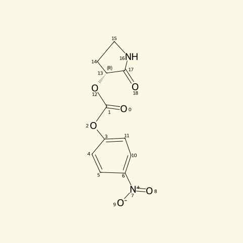 O=C(Oc1ccc([N+](=O)[O-])cc1)O[C@@H]1CCNC1=O